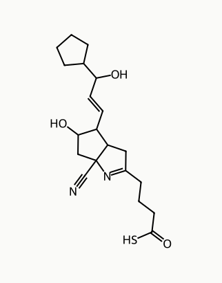 N#CC12CC(O)C(/C=C/C(O)C3CCCC3)C1CC(CCCC(=O)S)=N2